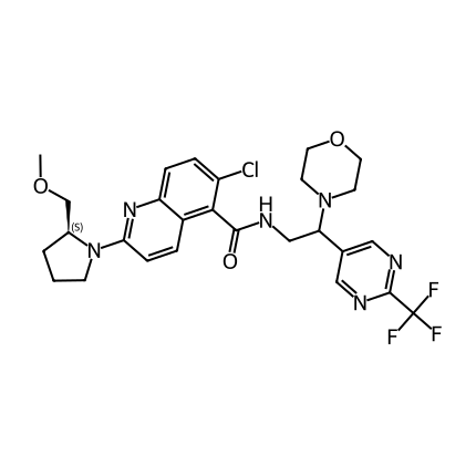 COC[C@@H]1CCCN1c1ccc2c(C(=O)NCC(c3cnc(C(F)(F)F)nc3)N3CCOCC3)c(Cl)ccc2n1